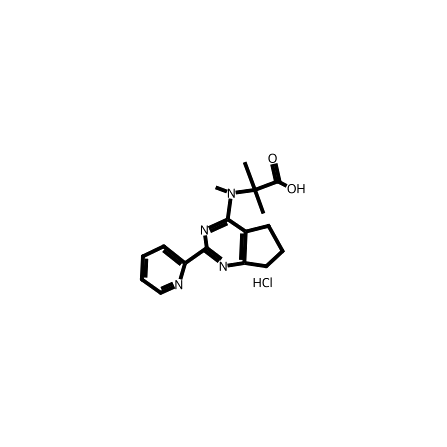 CN(c1nc(-c2ccccn2)nc2c1CCC2)C(C)(C)C(=O)O.Cl